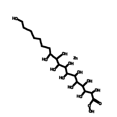 O=C(OO)C(O)C(O)C(O)C(O)C(O)C(O)C(O)C(O)C(O)C(O)CCCCCCCO.[Zn]